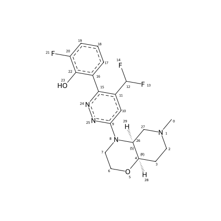 CN1CC[C@H]2OCCN(c3cc(C(F)F)c(-c4cccc(F)c4O)nn3)[C@H]2C1